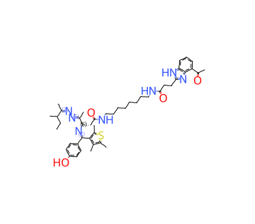 CCC(C)/C(C)=N\N=C(/C)[C@H](CC(=O)NCCCCCCCCNC(=O)CCc1nc2c(C(C)=O)cccc2[nH]1)/N=C(/c1ccc(O)cc1)c1c(C)sc(C)c1C